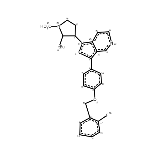 CC(C)(C)C1C(n2nc(-c3ccc(OCc4ccccc4F)cc3)c3cnccc32)CCN1C(=O)O